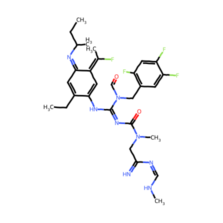 CCC1=CC(=N/C(C)CC)/C(=C(\C)F)C=C1N/C(=N/C(=O)N(C)CC(=N)/N=C\NC)N(C=O)Cc1cc(F)c(F)cc1F